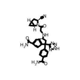 C[C@H](CC(c1ccc(C(N)=O)cc1)(c1ccc(C(N)=O)cc1)c1nn[nH]n1)NCC(=O)N1[C@H](C#N)C[C@@H]2C[C@@H]21